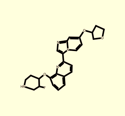 FC1CNCCC1Oc1cccc2ccc(-c3cnc4cc(OC5CCOC5)ccn34)nc12